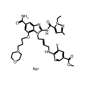 CCn1nc(C)cc1C(=O)Nc1nc2cc(C(N)=O)cc(OCCCN3CCOCC3)c2n1C/C=C/CNc1ncc(C(=O)OC)cc1[S-].[Na+]